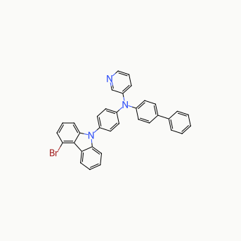 Brc1cccc2c1c1ccccc1n2-c1ccc(N(c2ccc(-c3ccccc3)cc2)c2cccnc2)cc1